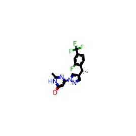 Cc1nc(-n2cc([C@@H](C)c3ccc(C(F)(F)F)cc3F)cn2)cc(=O)[nH]1